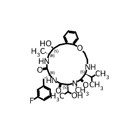 CC(C)[C@@H]1NCCOc2ccccc2C[C@H](O)[C@@H](C)NC(=O)[C@@H](Cc2cccc(F)c2)NC(=O)[C@H](C(C)O)N(C)C1=O